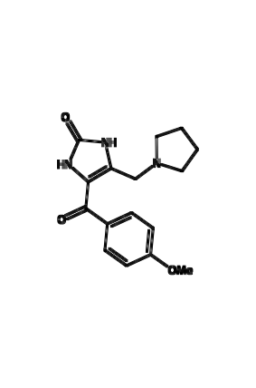 COc1ccc(C(=O)c2[nH]c(=O)[nH]c2CN2CCCC2)cc1